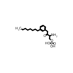 CCCCCCCCc1cccc(CC(=O)C(N)COP(=O)(O)O)c1